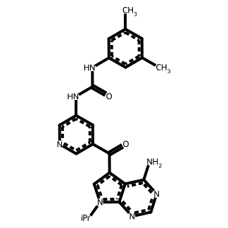 Cc1cc(C)cc(NC(=O)Nc2cncc(C(=O)c3cn(C(C)C)c4ncnc(N)c34)c2)c1